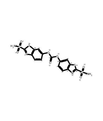 NS(=O)(=O)c1nc2ccc(OC(=O)Oc3ccc4nc(S(N)(=O)=O)sc4c3)cc2s1